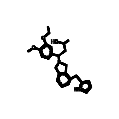 CCOc1cc([C@@H](CC(C)O)N2Cc3cccc(Cc4ccc[nH]4)c3C2)ccc1OC